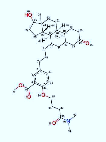 COC(=O)c1cc(CCCC2CC3CC(=O)CC[C@]3(C)[C@@H]3CC[C@]4(C)C(O)CC[C@H]4[C@H]23)ccc1OCCCC(=O)N(C)C